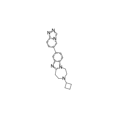 c1cc2c(cc1-c1ccc3nncn3c1)nc1n2CCN(C2CCC2)CC1